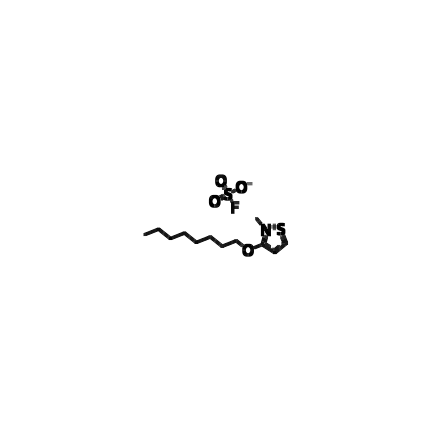 CCCCCCCCOc1ccs[n+]1C.O=S(=O)([O-])F